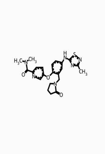 Cc1nsc(Nc2ccc(Oc3ccc(C(=O)N(C)C)nc3)c(CN3CCCC3=O)c2)n1